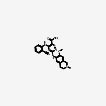 COc1cc2c(cc1Nc1nnc(C(N)=O)c(Nc3ccccc3C#N)n1)CCN(C)C2